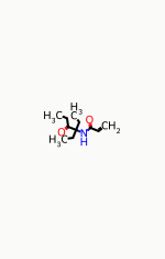 C=CC(=O)NC(CC)(CC)C(=O)CC